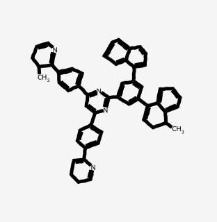 CC1CC=CN=C1c1ccc(-c2cc(-c3ccc(C4=CCCC=N4)cc3)nc(-c3cc(C4=CCC(C)c5ccccc54)cc(-c4cccc5ccccc45)c3)n2)cc1